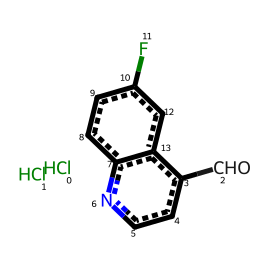 Cl.Cl.O=Cc1ccnc2ccc(F)cc12